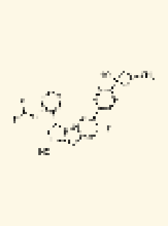 CN1CC(O)(c2ncc(-c3cn4c5c(nc4cc3F)[C@H](O)C[C@@H]5c3ccccc3OC(F)F)cn2)C1